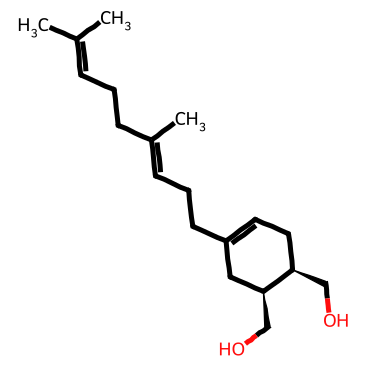 CC(C)=CCC/C(C)=C/CCC1=CC[C@@H](CO)[C@@H](CO)C1